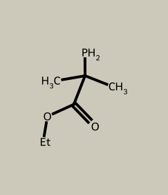 CCOC(=O)C(C)(C)P